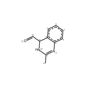 CC1=Nc2ccccc2C(C=O)N1